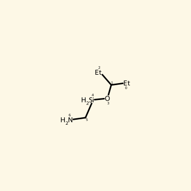 CCC(CC)O[SiH2]CN